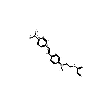 C=CC(=C)OCCN(CC)c1ccc(/C=C/c2ccc(N(CC)CC)cc2)cc1